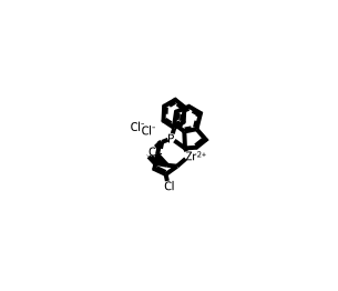 ClC1=Cc2c3cccc2P(c2ccccc2)[C]2(C=Cc4ccccc42)[Zr+2][CH]13.[Cl-].[Cl-]